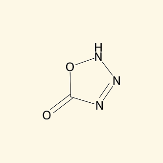 O=c1nn[nH]o1